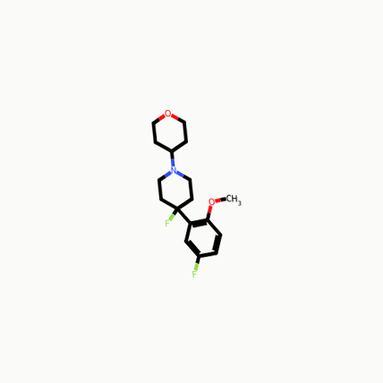 COc1ccc(F)cc1C1(F)CCN(C2CCOCC2)CC1